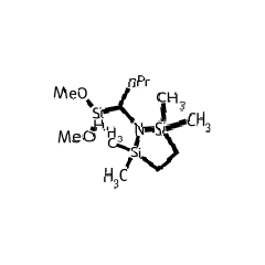 CCCC(N1[Si](C)(C)CC[Si]1(C)C)[SiH](OC)OC